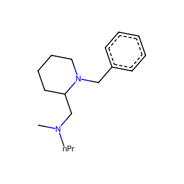 CCCN(C)CC1CCCCN1Cc1ccccc1